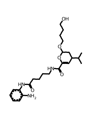 CC(C)C1C=C(C(=O)NCCCCC(=O)Nc2ccccc2N)OC(OCCCCO)C1